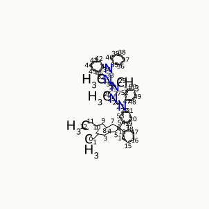 CCCCCCC1(CCCCCC)c2ccccc2-c2ccc(N(CN(C)CN(C)CN(C)CN(c3ccccc3)c3ccccc3)c3ccccc3)cc21